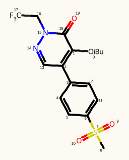 CC(C)COc1c(-c2ccc(S(C)(=O)=O)cc2)cnn(CC(F)(F)F)c1=O